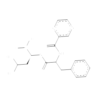 CB(C)[C@H](CC(C)C)NC(=O)C(Cc1ccccc1)NC(=O)c1cnccn1